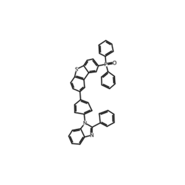 O=P(c1ccccc1)(c1ccccc1)c1ccc2sc3ccc(-c4ccc(-n5c(-c6ccccc6)nc6ccccc65)cc4)cc3c2c1